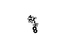 CC(C)C[C@H](N[C@@H](CCNS(=O)(=O)c1ccc2ccccc2c1)C(=O)O)C(=O)O